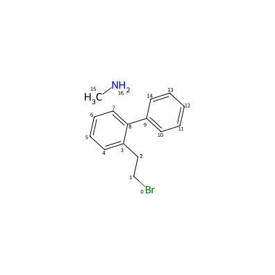 BrCCc1ccccc1-c1ccccc1.CN